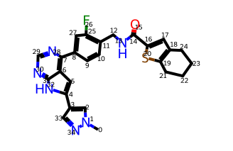 Cn1cc(-c2cc3c(-c4ccc(CNC(=O)c5cc6c(s5)CCCC6)c(F)c4)ncnc3[nH]2)cn1